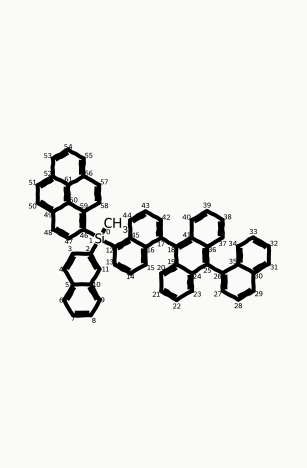 C[Si](c1ccc2ccccc2c1)(c1cccc2c(-c3c4ccccc4c(-c4cccc5ccccc45)c4ccccc34)cccc12)c1ccc2ccc3cccc4ccc1c2c34